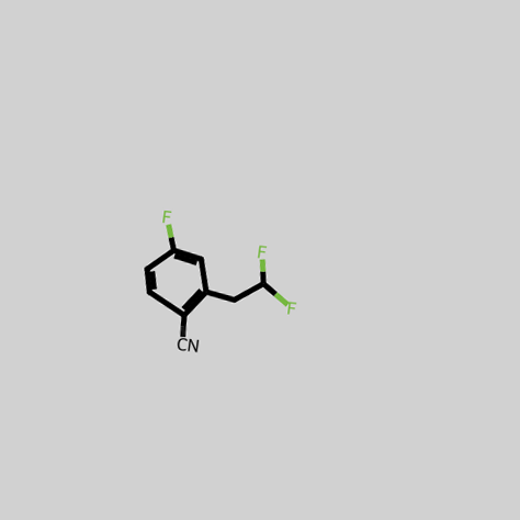 N#Cc1ccc(F)cc1CC(F)F